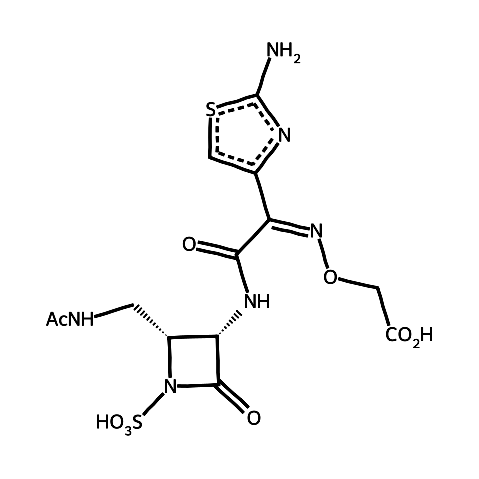 CC(=O)NC[C@@H]1[C@H](NC(=O)C(=NOCC(=O)O)c2csc(N)n2)C(=O)N1S(=O)(=O)O